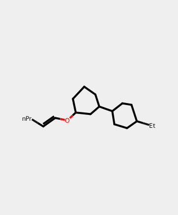 CCC/C=C/OC1CCCC(C2CCC(CC)CC2)C1